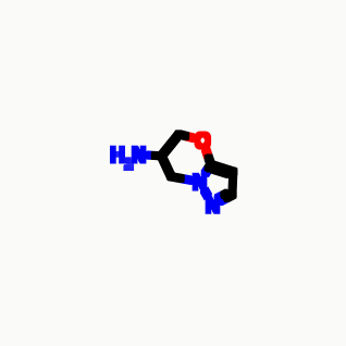 NC1COc2ccnn2C1